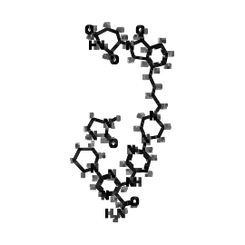 CN1CCN([C@H]2CCCN(c3cnc(C(N)=O)c(Nc4ccc(N5CCN(CCCCc6cccc7c6CN(C6CCC(=O)NC6=O)C7=O)CC5)nc4)n3)C2)C1=O